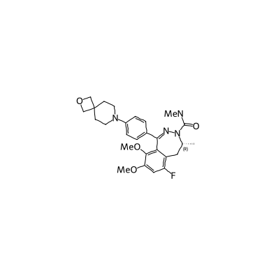 CNC(=O)N1N=C(c2ccc(N3CCC4(CC3)COC4)cc2)c2c(c(F)cc(OC)c2OC)C[C@H]1C